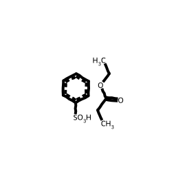 CCOC(=O)CC.O=S(=O)(O)c1ccccc1